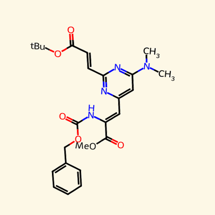 COC(=O)C(=Cc1cc(N(C)C)nc(C=CC(=O)OC(C)(C)C)n1)NC(=O)OCc1ccccc1